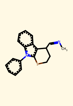 C/N=C\C1CCSc2c1c1ccccc1n2-c1ccccc1